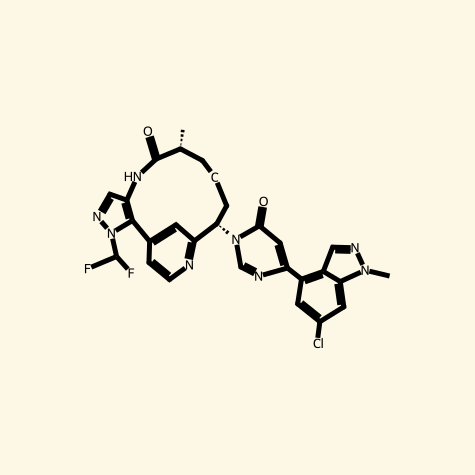 C[C@@H]1CCC[C@H](n2cnc(-c3cc(Cl)cc4c3cnn4C)cc2=O)c2cc(ccn2)-c2c(cnn2C(F)F)NC1=O